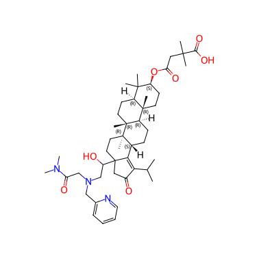 CC(C)C1=C2[C@H]3CC[C@@H]4[C@@]5(C)CC[C@H](OC(=O)CC(C)(C)C(=O)O)C(C)(C)[C@@H]5CC[C@@]4(C)[C@]3(C)CCC2(C(O)CN(CC(=O)N(C)C)Cc2ccccn2)CC1=O